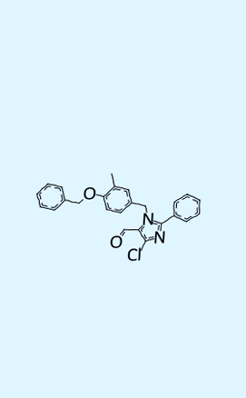 Cc1cc(Cn2c(-c3ccccc3)nc(Cl)c2C=O)ccc1OCc1ccccc1